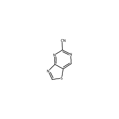 N#Cc1ncc2s[c]nc2n1